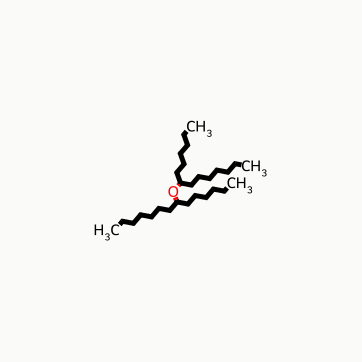 CCCCCCCC(CCCCCC)OC(CCCCCC)CCCCCCC